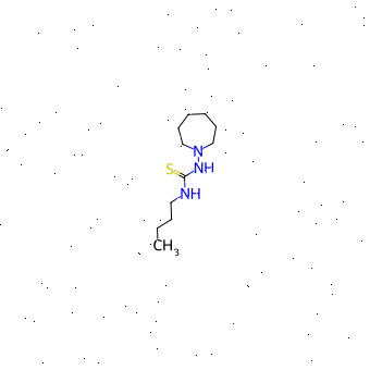 CCCCNC(=S)NN1CCCCCC1